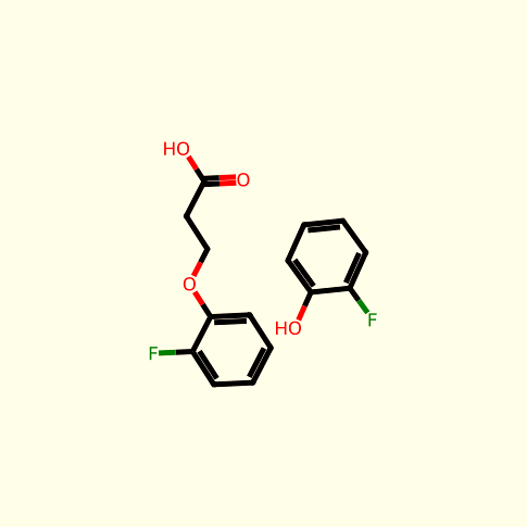 O=C(O)CCOc1ccccc1F.Oc1ccccc1F